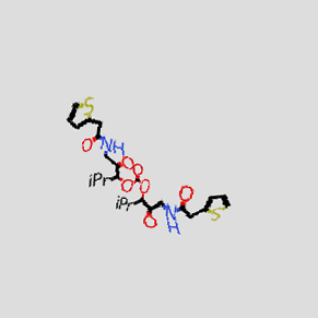 CC(C)C(OC(=O)OC(C(=O)CNC(=O)Cc1cccs1)C(C)C)C(=O)CNC(=O)Cc1cccs1